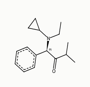 CCN(C1CC1)[C@@H](C(=O)C(C)C)c1ccccc1